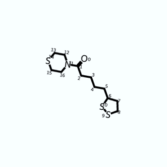 O=C(CCCCC1CCSS1)N1CCSCC1